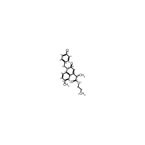 CCCOC(=O)C(C)c1cc(=O)n(Cc2ccc(Cl)cc2)c2ccc(C)cc12